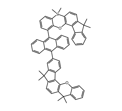 CC1(C)c2ccccc2Oc2c1ccc1c2-c2ccc(-c3c4ccccc4c(-c4cccc5c4Oc4c(ccc6c4-c4ccccc4C6(C)C)[Si]5(C)C)c4ccccc34)cc2C1(C)C